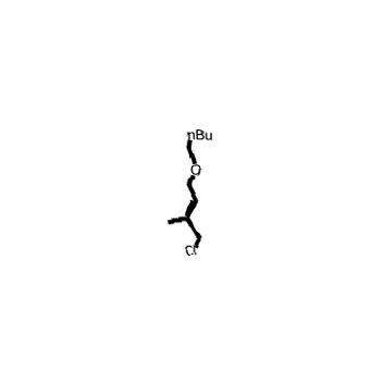 CCCCCOC/C=C(\C)CCl